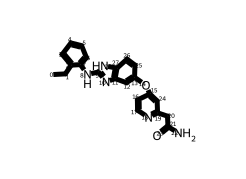 CCc1ccccc1Nc1nc2cc(Oc3ccnc(CC(N)=O)c3)ccc2[nH]1